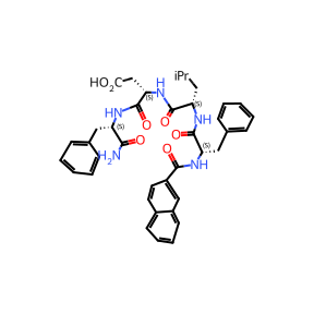 CC(C)C[C@H](NC(=O)[C@H](Cc1ccccc1)NC(=O)c1ccc2ccccc2c1)C(=O)N[C@@H](CC(=O)O)C(=O)N[C@@H](Cc1ccccc1)C(N)=O